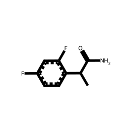 CC(C(N)=O)c1ccc(F)cc1F